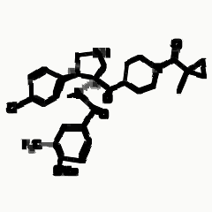 COc1ccc(C(=O)N(C)[C@@]2(C(=O)C3CCN(C(=O)C4(C)CC4)CC3)CNC[C@@H]2c2ccc(Cl)cc2)cc1C(F)(F)F